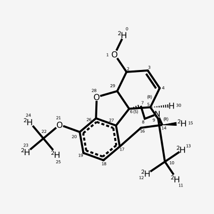 [2H]OC1C=C[C@@H]2[C@@]34CCN(C([2H])([2H])[2H])[C@]2([2H])Cc2ccc(OC([2H])([2H])[2H])c(c23)OC14